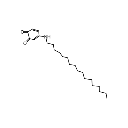 CCCCCCCCCCCCCCCCCNC1=CC(=O)C(=O)C=C1